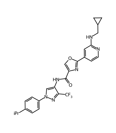 CC(C)c1ccc(-n2cc(NC(=O)c3coc(-c4ccnc(NCC5CC5)c4)n3)c(C(F)(F)F)n2)cc1